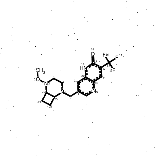 CON1CCN(Cc2cnc3cc(C(F)(F)F)c(=O)[nH]c3c2)C2CCC21